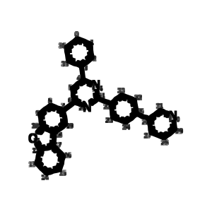 c1ccc(-c2cc(-c3ccc4oc5ccccc5c4c3)nc(-c3ccc(-c4cccnc4)cc3)n2)cc1